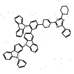 C1=C(c2nc(-c3ccccc3)nc(C3CCCCC3)n2)CCC(c2ccc(-n3c4ccccc4c4ccccc43)c(-c3ccc4c(c3)c3ccccc3n4-c3ccc4c5ccccc5n(-c5ccccc5)c4c3)c2)C1